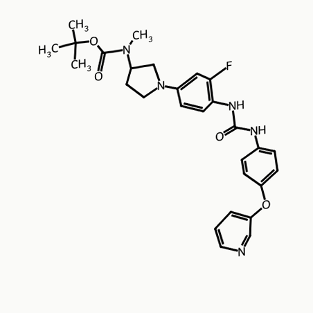 CN(C(=O)OC(C)(C)C)C1CCN(c2ccc(NC(=O)Nc3ccc(Oc4cccnc4)cc3)c(F)c2)C1